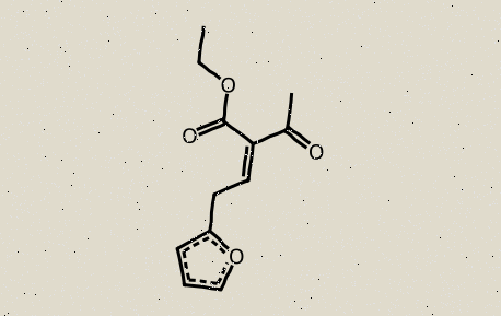 CCOC(=O)C(=CCc1ccco1)C(C)=O